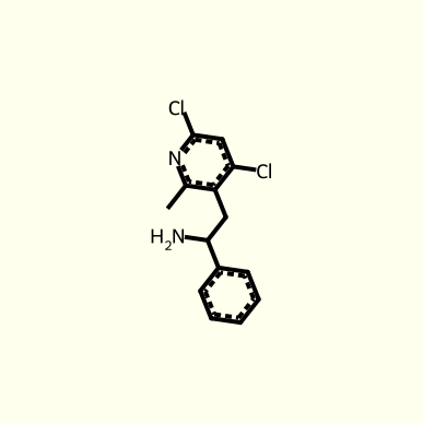 Cc1nc(Cl)cc(Cl)c1CC(N)c1ccccc1